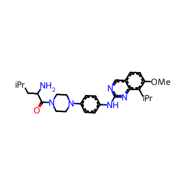 COc1ccc2cnc(Nc3ccc(N4CCN(C(=O)C(N)CC(C)C)CC4)cc3)nc2c1C(C)C